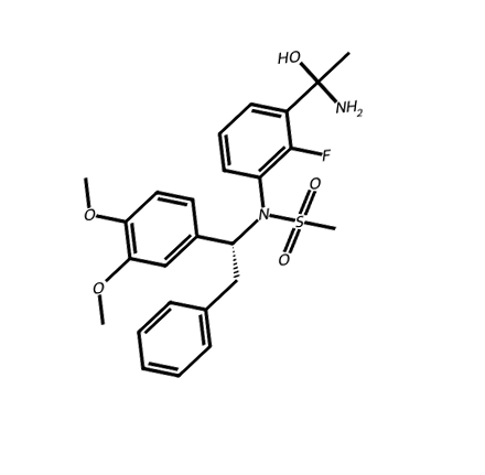 COc1ccc([C@@H](Cc2ccccc2)N(c2cccc(C(C)(N)O)c2F)S(C)(=O)=O)cc1OC